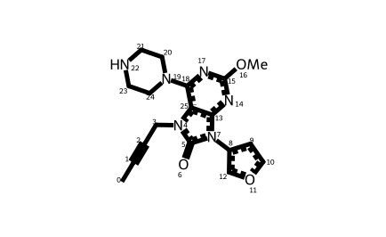 CC#CCn1c(=O)n(-c2ccoc2)c2nc(OC)nc(N3CCNCC3)c21